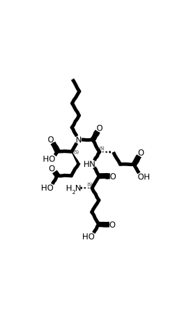 CCCCCN(C(=O)[C@H](CCC(=O)O)NC(=O)[C@@H](N)CCC(=O)O)[C@@H](CCC(=O)O)C(=O)O